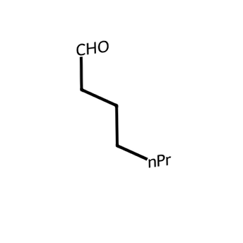 [CH2]CCCCCC=O